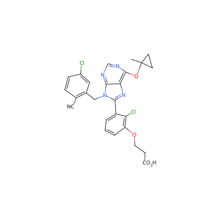 CC1(Oc2ncnc3c2nc(-c2cccc(OCCC(=O)O)c2Cl)n3Cc2cc(Cl)ccc2C#N)CC1